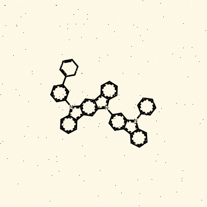 C1=CCCC(c2cccc(-n3c4ccccc4c4cc5c(cc43)c3ccccc3n5-c3ccc4c5ccccc5n(-c5ccccc5)c4c3)c2)=C1